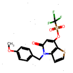 COc1ccc(Cn2c(=O)cc(OS(=O)(=O)C(F)(F)F)c3sccc32)cc1